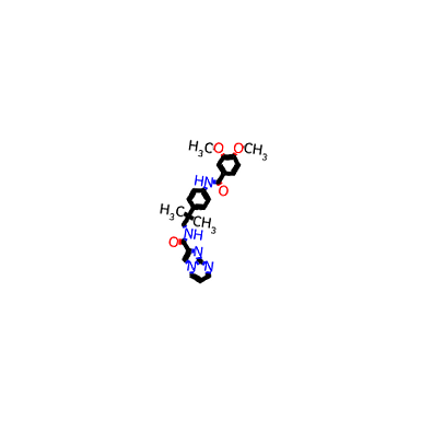 COc1ccc(C(=O)Nc2ccc(C(C)(C)CNC(=O)c3cn4cccnc4n3)cc2)cc1OC